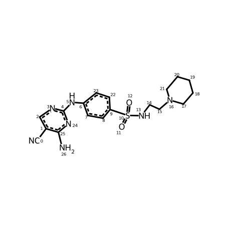 N#Cc1cnc(Nc2ccc(S(=O)(=O)NCCN3CCCCC3)cc2)nc1N